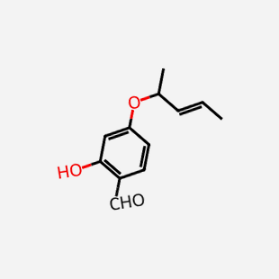 CC=CC(C)Oc1ccc(C=O)c(O)c1